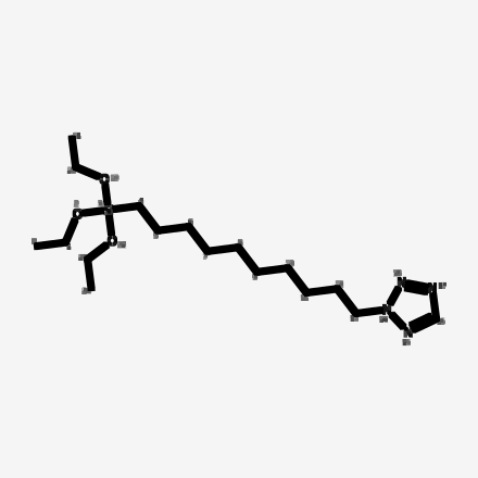 CCO[Si](CCCCCCCCCCn1ncnn1)(OCC)OCC